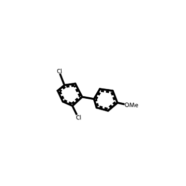 COc1ccc(-c2cc(Cl)ccc2Cl)cc1